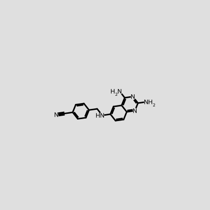 N#Cc1ccc(CNc2ccc3nc(N)nc(N)c3c2)cc1